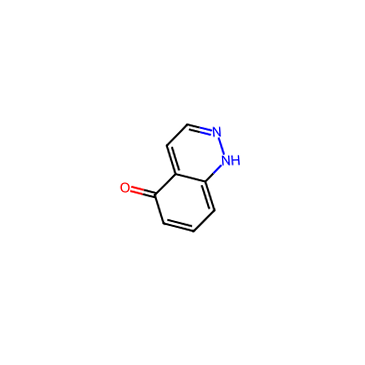 O=c1cccc2[nH]nccc1-2